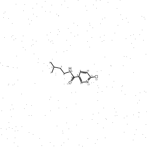 CC(C)CCNC(=O)c1ccc(Cl)nc1